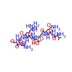 COCC(NC(=O)CNC(=O)C(CCCNC(=N)N)NC(=O)CNC(=O)C(NC(=O)CNC(=O)C(CCC(N)=O)NC(=O)CNC(=O)C(N)C(C)C)C(C)O)C(=O)NCC(N)=O